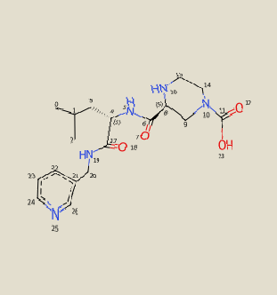 CC(C)C[C@H](NC(=O)[C@@H]1CN(C(=O)O)CCN1)C(=O)NCc1cccnc1